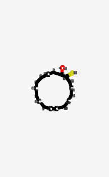 [O]C1CCCCCCCCCCCCCCCC1=S